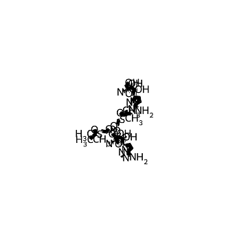 CC(C)(C)C(=O)SCCOP(=O)(OCCSC(=O)C(C)(C)C[n+]1cnn2c([C@@H]3O[C@](C#N)(CO)[C@@H](O)[C@H]3O)ccc2c1N)OC1[C@@]2(C#N)O[C@@H](c3ccc4c(N)ncnn34)[C@H](O)[C@@]12O